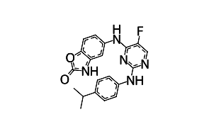 CC(C)c1ccc(Nc2ncc(F)c(Nc3ccc4oc(=O)[nH]c4c3)n2)cc1